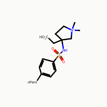 CCCCCc1ccc(S(=O)(=O)NC2(CC(=O)O)CC[N+](C)(C)C2)cc1